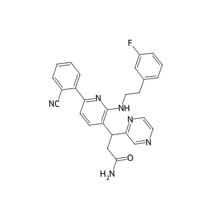 N#Cc1ccccc1-c1ccc(C(CC(N)=O)c2cnccn2)c(NCCc2cccc(F)c2)n1